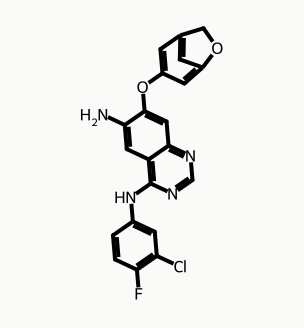 Nc1cc2c(Nc3ccc(F)c(Cl)c3)ncnc2cc1Oc1cc2cc(c1)OC2